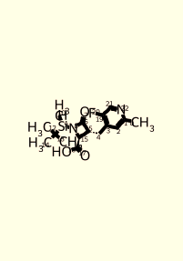 Cc1cc(C[C@H]2C(=O)N([SiH](C)C(C)(C)C)[C@@H]2C(=O)O)c(F)cn1